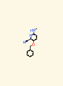 CNc1ccc(OCc2ccccc2)c(C#N)n1